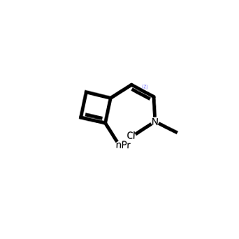 CCCC1=CCC1/C=C\N(C)Cl